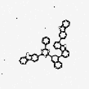 C1=c2ccccc2=C(c2cccc3oc4c(-c5ccc6c(c5)sc5ccccc56)cccc4c23)CC1c1nc(-c2ccccc2)nc(-c2ccc3c(c2)oc2ccccc23)n1